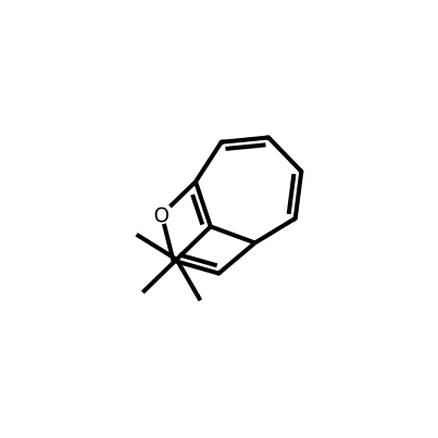 CC(C)(C)C1=C2C=CC=CC1C=CO2